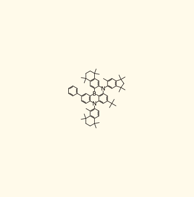 Cc1cc2c(cc1N1c3cc4c(cc3B3c5cc(-c6ccccc6)ccc5N(c5ccc6c(c5C)C(C)(C)CCC6(C)C)c5cc(C(C)(C)C)cc1c53)C(C)(C)CCC4(C)C)C(C)(C)CC2(C)C